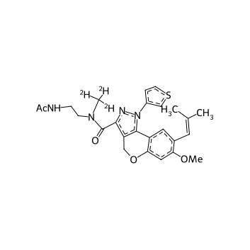 [2H]C([2H])([2H])N(CCNC(C)=O)C(=O)c1nn(-c2ccsc2)c2c1COc1cc(OC)c(C=C(C)C)cc1-2